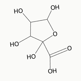 O=C(O)C1(O)OC(O)C(O)C1O